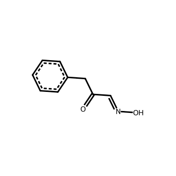 O=C(C=NO)Cc1ccccc1